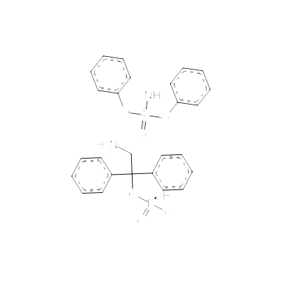 NCC(OP(=O)(O)O)(c1ccccc1)c1ccccc1.NP(=O)(Oc1ccccc1)Oc1ccccc1